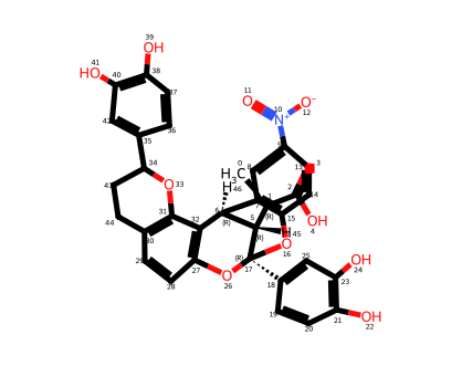 C[C@@H](C(=O)O)[C@H]1[C@@H]2c3cc([N+](=O)[O-])ccc3O[C@@]1(c1ccc(O)c(O)c1)Oc1ccc3c(c12)OC(c1ccc(O)c(O)c1)CC3